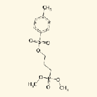 COP(=O)(CCCOS(=O)(=O)c1ccc(C)cc1)OC